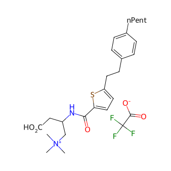 CCCCCc1ccc(CCc2ccc(C(=O)NC(CC(=O)O)C[N+](C)(C)C)s2)cc1.O=C([O-])C(F)(F)F